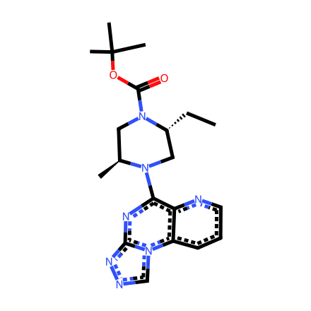 CC[C@@H]1CN(c2nc3nncn3c3cccnc23)[C@@H](C)CN1C(=O)OC(C)(C)C